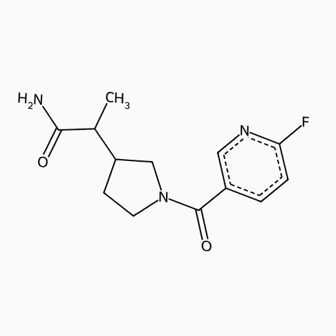 CC(C(N)=O)C1CCN(C(=O)c2ccc(F)nc2)C1